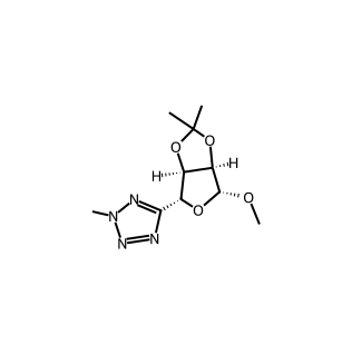 CO[C@@H]1O[C@H](c2nnn(C)n2)[C@H]2OC(C)(C)O[C@@H]12